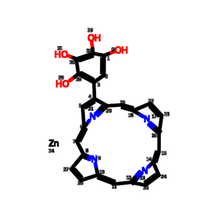 Oc1cc(C2=CC3=CC4=NC(=CC5=NC(=CC6=NC(=CC2=N3)C=C6)C=C5)C=C4)c(O)c(O)c1O.[Zn]